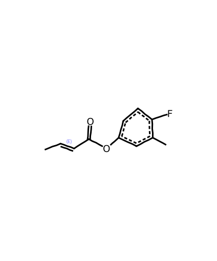 C/C=C/C(=O)Oc1ccc(F)c(C)c1